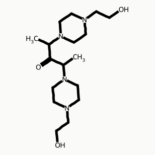 CC(C(=O)C(C)N1CCN(CCO)CC1)N1CCN(CCO)CC1